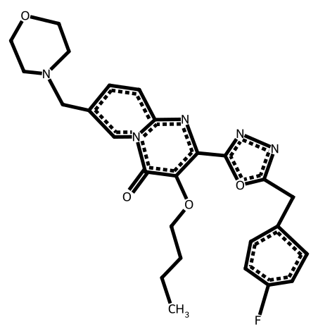 CCCCOc1c(-c2nnc(Cc3ccc(F)cc3)o2)nc2ccc(CN3CCOCC3)cn2c1=O